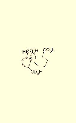 O=C(O)C1CCCCC1C(=O)O.O=C(O)c1ccc(C(=O)O)s1